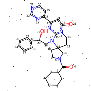 O=C(C1CCCCC1)N1CCC2(CCn3c(nc(-c4ccncn4)cc3=O)N2C[C@H](O)c2ccccc2)C1